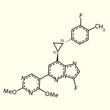 COc1ncc(-c2cc([C@H]3C[C@@H]3c3ccc(C)c(F)c3)c3ncc(F)n3n2)c(OC)n1